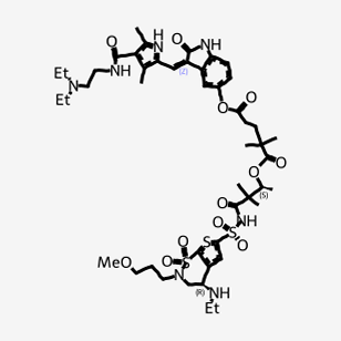 CCN[C@H]1CN(CCCOC)S(=O)(=O)c2sc(S(=O)(=O)NC(=O)C(C)(C)[C@H](C)OC(=O)C(C)(C)CCC(=O)Oc3ccc4c(c3)/C(=C/c3[nH]c(C)c(C(=O)NCCN(CC)CC)c3C)C(=O)N4)cc21